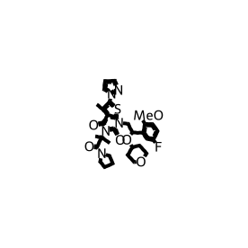 COc1ccc(F)cc1C(Cn1c(=O)n(C(C)(C)C(=O)N2CCCC2)c(=O)c2c(C)c(-n3cccn3)sc21)OC1CCOCC1